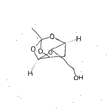 CC12OC3C[C@H](O1)C(CO)O[C@@H]3O2